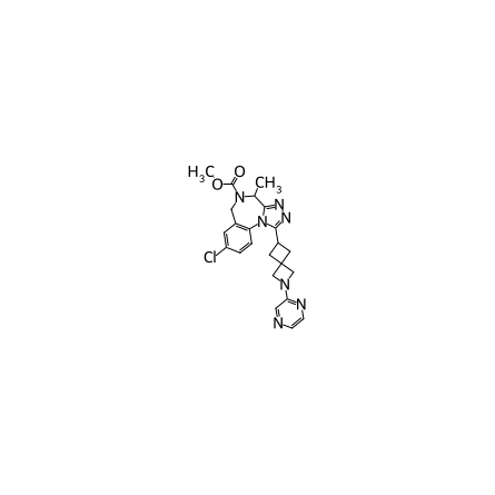 COC(=O)N1Cc2cc(Cl)ccc2-n2c(C3CC4(C3)CN(c3cnccn3)C4)nnc2C1C